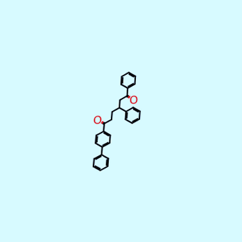 O=C(CCC(CC(=O)c1ccccc1)c1ccccc1)c1ccc(-c2ccccc2)cc1